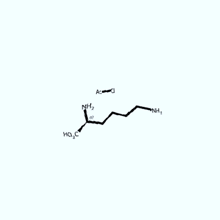 CC(=O)Cl.NCCCC[C@H](N)C(=O)O